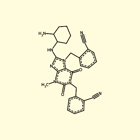 Cn1c(=O)n(Cc2ccccc2C#N)c(=O)c2c1nc(NC1CCCCC1N)n2Cc1ccccc1C#N